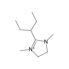 CCC(CC)C1=[N+](C)CCN1C